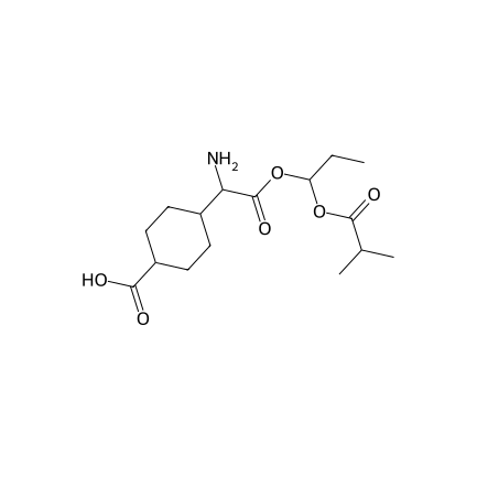 CCC(OC(=O)C(C)C)OC(=O)C(N)C1CCC(C(=O)O)CC1